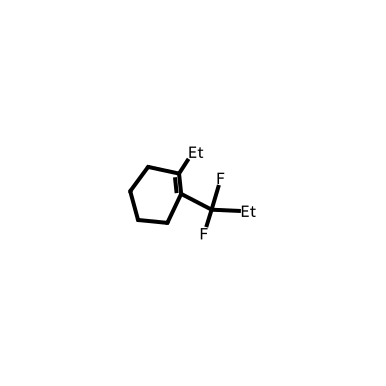 CCC1=C(C(F)(F)CC)CCCC1